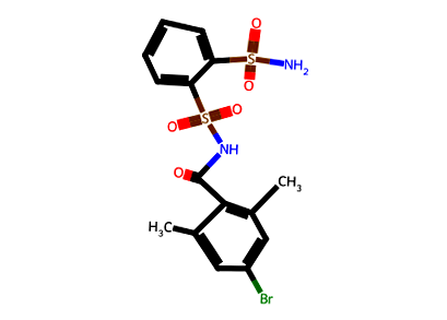 Cc1cc(Br)cc(C)c1C(=O)NS(=O)(=O)c1ccccc1S(N)(=O)=O